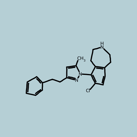 Cc1cc(CCc2ccccc2)nn1-c1c(Cl)ccc2c1CCNCC2